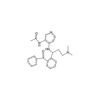 CC(=O)Nc1cnccc1NC(CCN(C)C)c1ccccc1C(=O)c1ccccc1